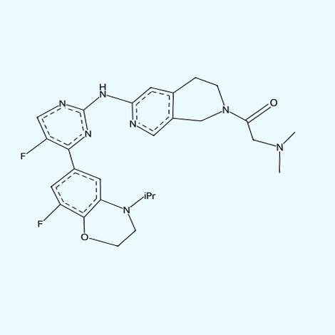 CC(C)N1CCOc2c(F)cc(-c3nc(Nc4cc5c(cn4)CN(C(=O)CN(C)C)CC5)ncc3F)cc21